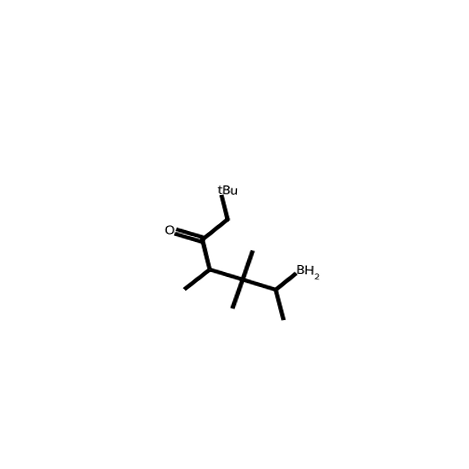 BC(C)C(C)(C)C(C)C(=O)CC(C)(C)C